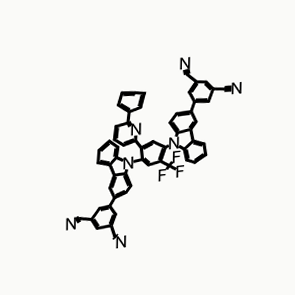 N#Cc1cc(C#N)cc(-c2ccc3c(c2)c2ccccc2n3-c2cc(C(F)(F)F)c(-n3c4ccccc4c4cc(-c5cc(C#N)cc(C#N)c5)ccc43)cc2-c2cccc(-c3ccccc3)n2)c1